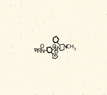 CN1CCN(S(=O)(=O)c2ccc(NC(=O)C3CC3)cc2N2CCCC2)C(c2ccccc2)C1